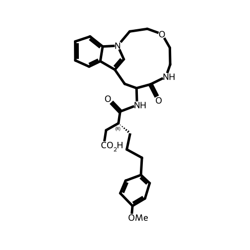 COc1ccc(CCC[C@H](CC(=O)O)C(=O)NC2Cc3cn(c4ccccc34)CCOCCNC2=O)cc1